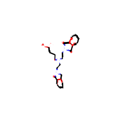 COC(=O)CCC(=O)N(CCN1CC2C3C=CC(O3)C2C1=O)CCN1C(=O)C2C3C=CC(O3)C2C1=O